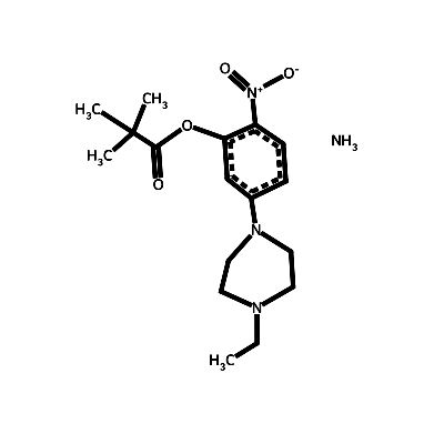 CCN1CCN(c2ccc([N+](=O)[O-])c(OC(=O)C(C)(C)C)c2)CC1.N